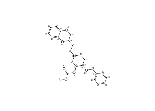 COC(=O)O[C@H]1CN(CCC2COc3ccccc3O2)CC[C@@H]1OCc1ccccc1